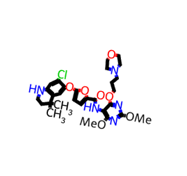 COc1nc(OC)c(NC(=O)c2ccc(Oc3cc4c(cc3Cl)NCCC4(C)C)o2)c(OCCCN2CCOCC2)n1